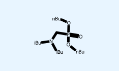 CCCCOP(=O)(CN(C(C)CC)C(C)CC)OCCCC